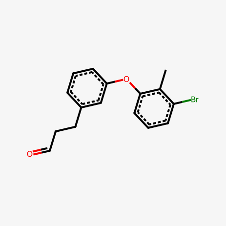 Cc1c(Br)cccc1Oc1cccc(CCC=O)c1